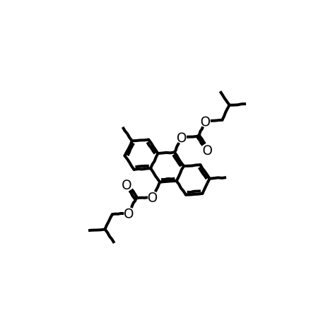 Cc1ccc2c(OC(=O)OCC(C)C)c3ccc(C)cc3c(OC(=O)OCC(C)C)c2c1